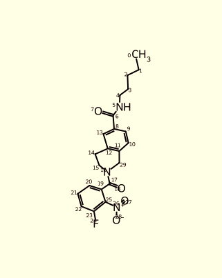 CCCCCNC(=O)c1ccc2c(c1)CCN(C(=O)c1cccc(F)c1[N+](=O)[O-])C2